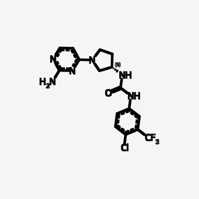 Nc1nccc(N2CC[C@H](NC(=O)Nc3ccc(Cl)c(C(F)(F)F)c3)C2)n1